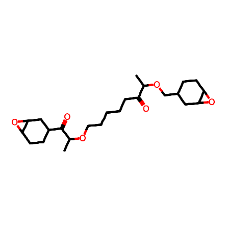 CC(OCC1CCC2OC2C1)C(=O)CCCCCOC(C)C(=O)C1CCC2OC2C1